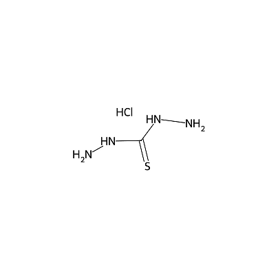 Cl.NNC(=S)NN